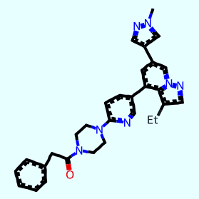 CCc1cnn2cc(-c3cnn(C)c3)cc(-c3ccc(N4CCN(C(=O)Cc5ccccc5)CC4)nc3)c12